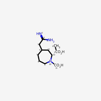 CC(=O)O.N=C(N)CC1CCCN(C(=O)O)CC1